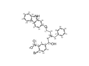 O=[N+]([O-])c1cc(C(O)CN(CCOc2ccc3c(c2)[nH]c2ccccc23)Cc2ccccc2)ccc1Br